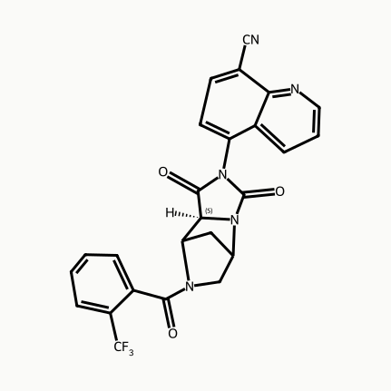 N#Cc1ccc(N2C(=O)[C@@H]3C4CC(CN4C(=O)c4ccccc4C(F)(F)F)N3C2=O)c2cccnc12